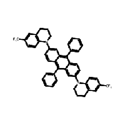 FC(F)(F)c1ccc2c(c1)CCCN2c1ccc2c(-c3ccccc3)c3cc(N4CCCc5cc(C(F)(F)F)ccc54)ccc3c(-c3ccccc3)c2c1